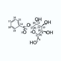 O=S(O[C@H]1O[C@H](CO)[C@H](O)[C@H](O)[C@H]1O)c1ccccc1